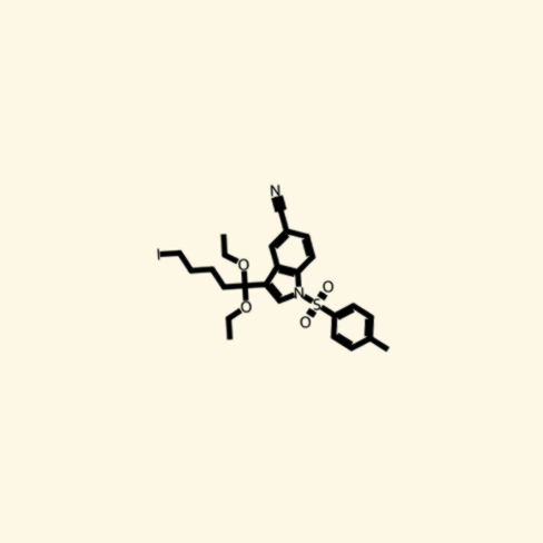 CCOC(CCCCI)(OCC)c1cn(S(=O)(=O)c2ccc(C)cc2)c2ccc(C#N)cc12